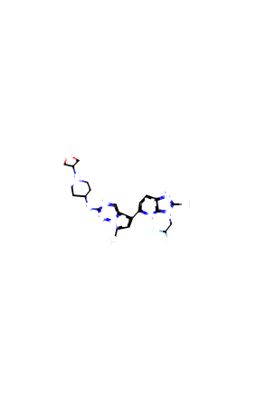 [2H]c1cc(-c2ccc3nc(C)n(CC(F)F)c3n2)c2cnc(NC3CCN(C4COC4)CC3)nn12